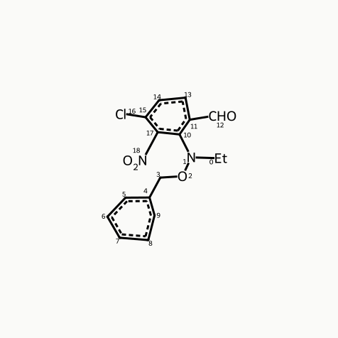 CCN(OCc1ccccc1)c1c(C=O)ccc(Cl)c1[N+](=O)[O-]